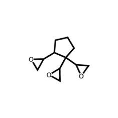 C1CC(C2CO2)C(C2CO2)(C2CO2)C1